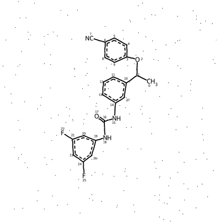 CC(Oc1ccc(C#N)cc1)c1cccc(NC(=O)Nc2cc(F)cc(F)c2)c1